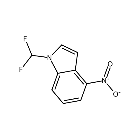 O=[N+]([O-])c1cccc2c1ccn2C(F)F